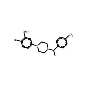 COc1cc(N2CCN(C(C)c3ccc(C(F)(F)F)cc3)CC2)ccc1Br